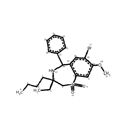 CCCCC1(CC)CS(=O)(=O)c2cc(OC)c(Br)cc2C(c2ccccc2)N1